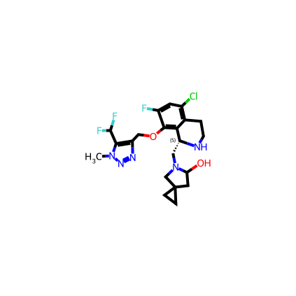 Cn1nnc(COc2c(F)cc(Cl)c3c2[C@@H](CN2CC4(CC4)CC2O)NCC3)c1C(F)F